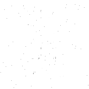 Nc1ccc(CN(Cc2cc(Cl)cc(Cl)c2)C(=O)C(=O)O)cc1